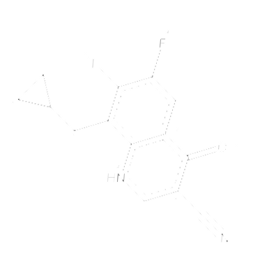 N#Cc1c[nH]c2c(CC3CC3)c(F)c(F)cc2c1=O